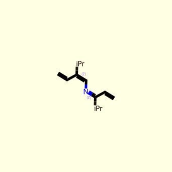 C=C/C(=C\N=C(/C=C)C(C)C)C(C)C